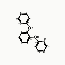 c1ccc(Oc2ccccc2Oc2ccccn2)nc1